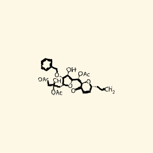 C=CC[C@@H]1C=CC(=O)[C@@H]([C@@H](OC(C)=O)[C@@H]2O[C@H](C[C@@](C)(COC(C)=O)OC(C)=O)[C@H](OCc3ccccc3)[C@@H]2O)O1